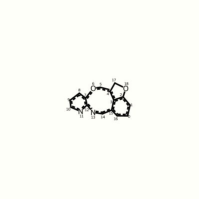 c1cc2c3c(coc4cccnc4ncc3c1)CO2